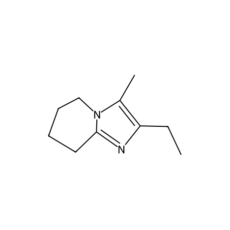 CCc1nc2n(c1C)CCCC2